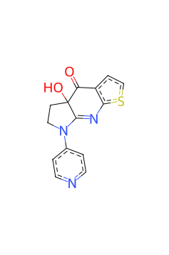 O=C1c2ccsc2N=C2N(c3ccncc3)CCC12O